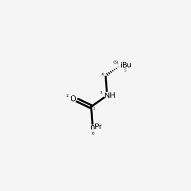 CCCC(=O)NC[C@@H](C)CC